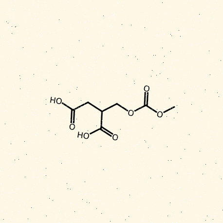 COC(=O)OCC(CC(=O)O)C(=O)O